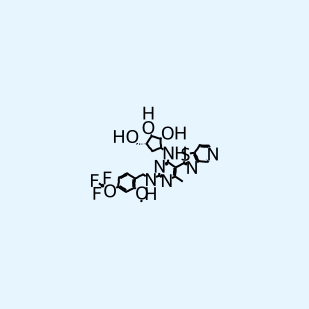 COc1cc(OC(F)(F)F)ccc1CNc1nc(C)c(-c2nc3cnccc3s2)c(NC2C[C@H](CO)[C@@H](O)[C@H]2O)n1